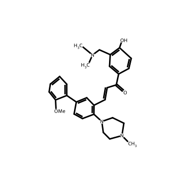 COc1ccccc1-c1ccc(N2CCN(C)CC2)c(C=CC(=O)c2ccc(O)c(CN(C)C)c2)c1